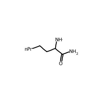 CCCCCC([NH])C(N)=O